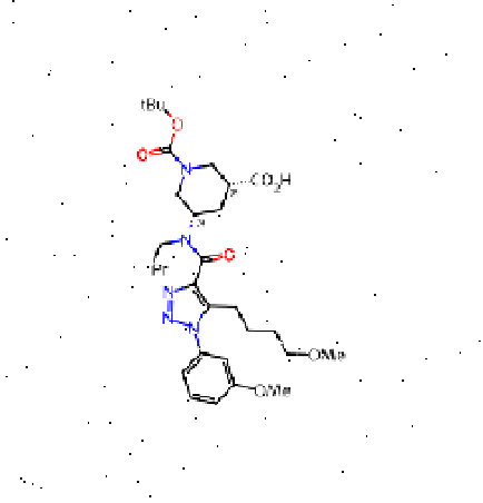 COCCCCc1c(C(=O)N(CC(C)C)[C@H]2C[C@@H](C(=O)O)CN(C(=O)OC(C)(C)C)C2)nnn1-c1cccc(OC)c1